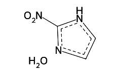 O.O=[N+]([O-])c1ncc[nH]1